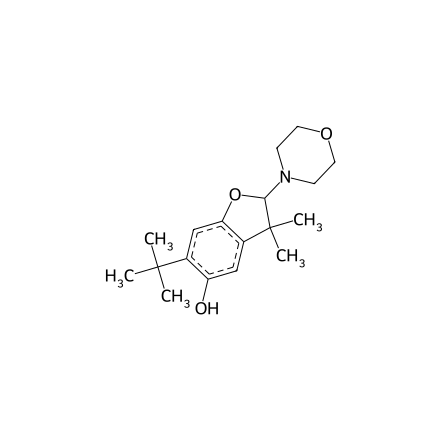 CC(C)(C)c1cc2c(cc1O)C(C)(C)C(N1CCOCC1)O2